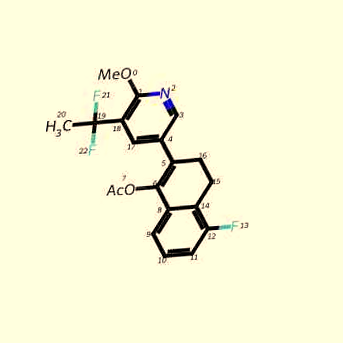 COc1ncc(C2=C(OC(C)=O)c3cccc(F)c3CC2)cc1C(C)(F)F